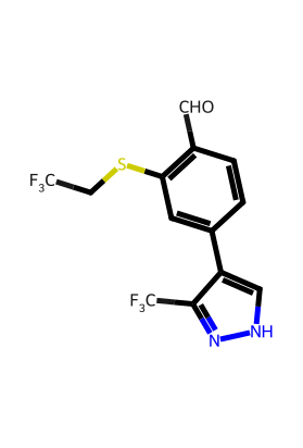 O=Cc1ccc(-c2c[nH]nc2C(F)(F)F)cc1SCC(F)(F)F